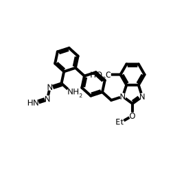 CCOc1nc2cccc(C(=O)O)c2n1Cc1ccc(-c2ccccc2/C(N)=N/N=N)cc1